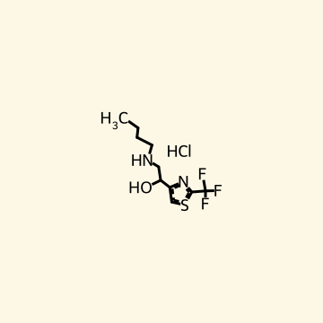 CCCCNCC(O)c1csc(C(F)(F)F)n1.Cl